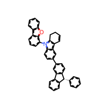 C1=Cc2c(n(-c3cccc4c3oc3ccccc34)c3ccc(-c4ccc5c(c4)-c4ccccc4[C@H]5c4ccccc4)cc23)CC1